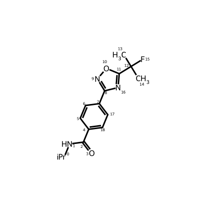 CC(C)NC(=O)c1ccc(-c2noc(C(C)(C)F)n2)cc1